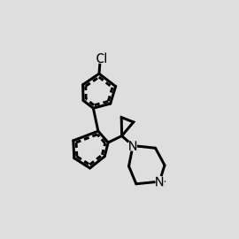 Clc1ccc(-c2ccccc2C2(N3CC[N]CC3)CC2)cc1